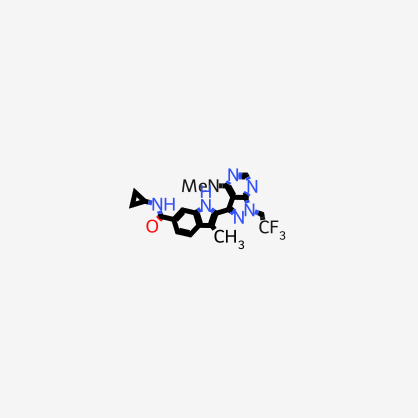 CNc1ncnc2c1c(-c1[nH]c3cc(C(=O)NC4CC4)ccc3c1C)nn2CC(F)(F)F